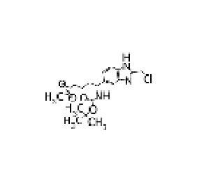 CC(C)(C)OC(=O)NC(CCCS(C)(=O)=O)c1ccc2[nH]c(CCl)nc2c1